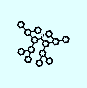 O=C(c1cc(-c2ccc(-c3ccccc3)c(-c3ccccc3)c2)cc(-c2ccc(-c3ccccc3)cc2-c2ccccc2)c1)c1cc(-c2ccc(-c3ccccc3)c(-c3ccccc3)c2)cc(-c2ccc(-c3ccccc3)cc2-c2ccccc2)c1